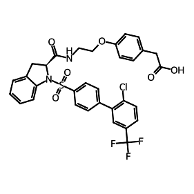 O=C(O)Cc1ccc(OCCNC(=O)[C@@H]2Cc3ccccc3N2S(=O)(=O)c2ccc(-c3cc(C(F)(F)F)ccc3Cl)cc2)cc1